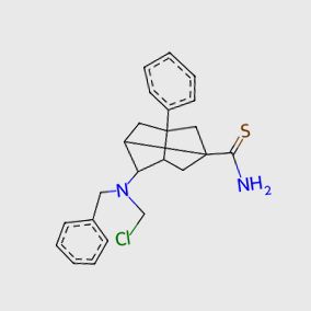 NC(=S)C12CC3C(N(CCl)Cc4ccccc4)C1CC3(c1ccccc1)C2